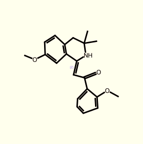 COc1ccc2c(c1)/C(=C/C(=O)c1ccccc1OC)NC(C)(C)C2